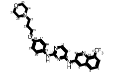 FC(F)(F)c1cccc2cc(Nc3ccnc(Nc4ccc(OCCCN5CCOCC5)cc4)n3)cnc12